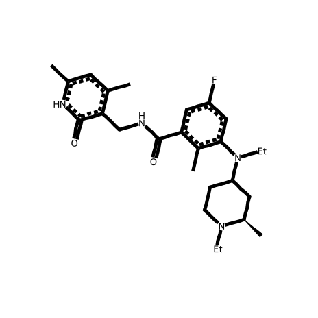 CCN(c1cc(F)cc(C(=O)NCc2c(C)cc(C)[nH]c2=O)c1C)C1CCN(CC)[C@H](C)C1